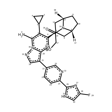 Nc1c(C2CC2)c([C@@H]2C[C@H]3CC[C@@H](C2)N3C(=O)CO)nc2c(-c3ccc(-c4nc(F)c[nH]4)nc3)cnn12